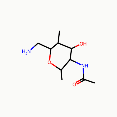 CC(=O)NC1C(C)OC(CN)C(C)C1O